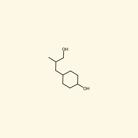 CC(CO)CC1CCC(O)CC1